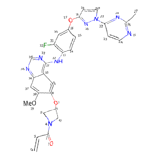 C=CC(=O)N1CC(Oc2cc3c(Nc4ccc(Oc5ccn(-c6ccnc(C)n6)n5)cc4F)ncnc3cc2OC)C1